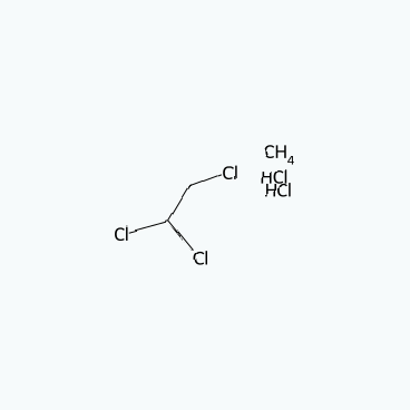 C.Cl.Cl.ClCC(Cl)Cl